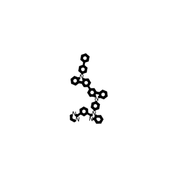 c1ccc(-c2ccc(-n3c4ccccc4c4cc(-c5ccc6c(c5)c5ccccc5n6-c5ccc(-n6c(-c7cccc(-c8ncccn8)c7)nc7ccccc76)cc5)ccc43)cc2)cc1